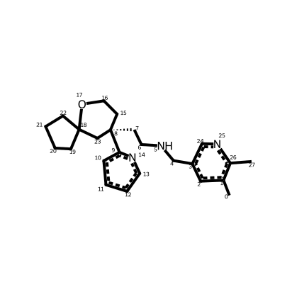 Cc1cc(CNCC[C@@]2(c3ccccn3)CCOC3(CCCC3)C2)cnc1C